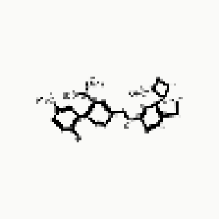 COc1ccc(F)c(-c2ccc(COc3ccc4c(c3)[C@]3(CC4)CC[C@H]3C=O)cc2[C@H](OC)C(C)(C)C)c1